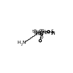 Cc1ncsc1-c1ccc([C@H](C)NC(=O)[C@@H]2C[C@@H](OCc3ccccc3)CN2C(=O)[C@@H](NC(=O)CCCCCCCCCCCN)C(C)(C)C)cc1